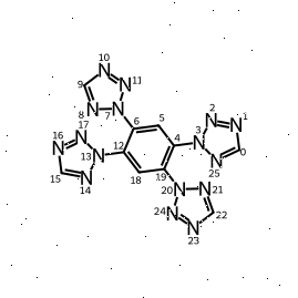 c1nnn(-c2cc(-n3ncnn3)c(-n3ncnn3)cc2-n2ncnn2)n1